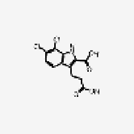 O=C(O)CCc1c(C(=O)O)[nH]c2c(Cl)c(Cl)ccc12